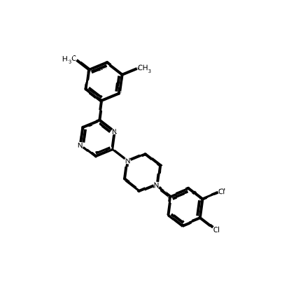 Cc1cc(C)cc(-c2cncc(N3CCN(c4ccc(Cl)c(Cl)c4)CC3)n2)c1